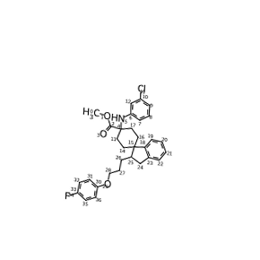 COC(=O)C1(Nc2cccc(Cl)c2)CCC2(CC1)c1ccccc1CC2CCCOc1ccc(F)cc1